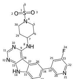 CS(=O)(=O)N1CCC(Nc2ncnc3[nH]c4ccc(-c5cncc(F)c5)cc4c23)CC1